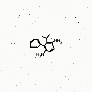 CC(C)c1c(N)ccc(N)c1-c1ccccc1